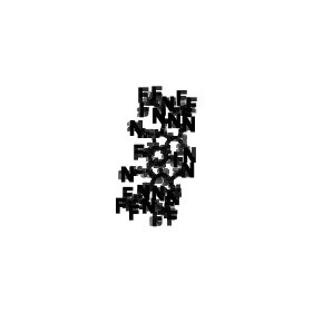 N#CC(C#N)=C1C(c2nc(C(F)(F)F)nc(C(F)(F)F)n2)=C(C#N)c2c(F)c3c(c(F)c21)C(=C(C#N)C#N)C(c1nc(C(F)(F)F)nc(C(F)(F)F)n1)=C3C#N